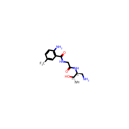 CCC[C@H](O)[C@H](CN)NC(=O)CNC(=O)c1cc(C(F)(F)F)ccc1N